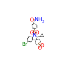 NC(=O)c1ccc(S(=O)(=O)N2c3ccc(Br)cc3C3(CCS(=O)(=O)CC3)C2C2CC2)cc1